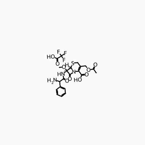 CO[C@@]1(NC(=O)C(N)c2ccccc2)C(=O)N2C(C(=O)O)=C(COC(C)=O)CS[C@@H]21.O=C(O)C(F)(F)F